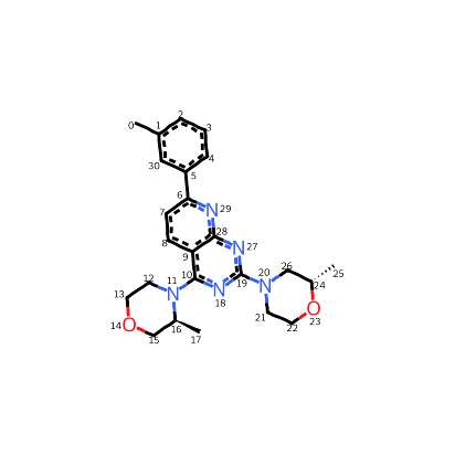 Cc1cccc(-c2ccc3c(N4CCOC[C@@H]4C)nc(N4CCO[C@@H](C)C4)nc3n2)c1